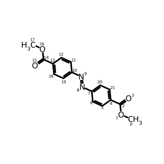 COC(=O)c1ccc(N=Nc2ccc(C(=O)OC)cc2)cc1